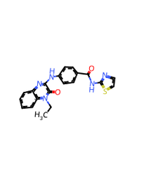 CCn1c(=O)c(Nc2ccc(C(=O)Nc3nccs3)cc2)nc2ccccc21